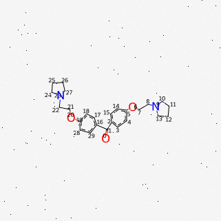 O=C(c1ccc(OCCN2CCCC2)cc1)c1ccc(OCCN2CCCC2)cc1